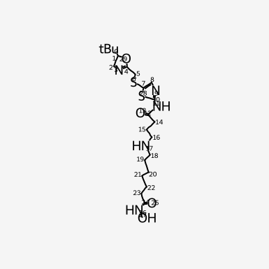 CC(C)(C)C1CN=C(CSc2cnc(NC(=O)CCCNCCCCCCC(=O)NO)s2)O1